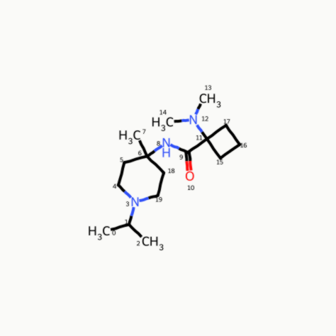 CC(C)N1CCC(C)(NC(=O)C2(N(C)C)CCC2)CC1